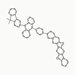 CC1(C)c2ccccc2-c2cc(-c3c4ccccc4c(-c4ccc(-c5ccc6cc7sc8cc9c(cc8c7cc6c5)oc5ccccc59)cc4)c4ccccc34)ccc21